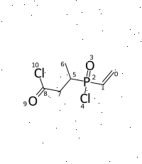 C=CP(=O)(Cl)C(C)CC(=O)Cl